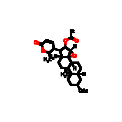 CCC(=O)O[C@H]1[C@H]2O[C@]23[C@@H]2CC[C@@H]4C[C@@H](OC(C)=O)CC[C@]4(C)[C@H]2CC[C@]3(C)[C@H]1C1C=CC(=O)OC1C